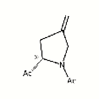 C=C1C[C@@H](C(C)=O)N(C(C)=O)C1